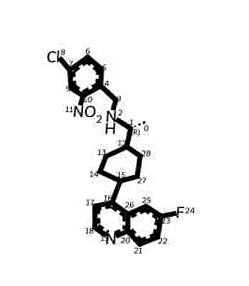 C[C@@H](NCc1ccc(Cl)cc1[N+](=O)[O-])C1CCC(c2ccnc3ccc(F)cc23)CC1